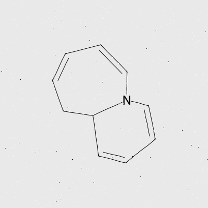 C1=CCC2C=CC=CN2C=C1